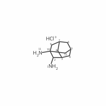 Cl.NC1C2CC3CC(C2)CC1(N)C3